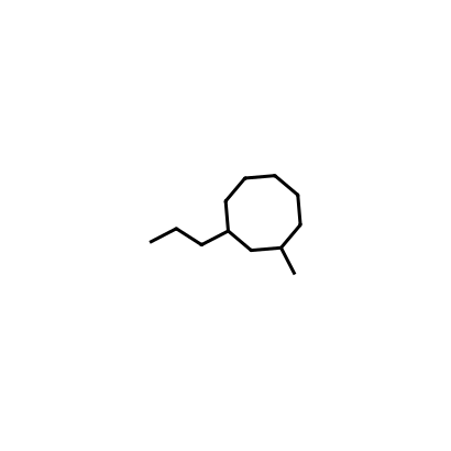 CCCC1CCCCCC(C)C1